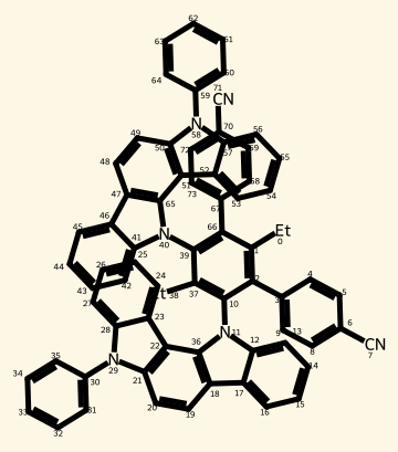 CCc1c(-c2ccc(C#N)cc2)c(-n2c3ccccc3c3ccc4c(c5ccccc5n4-c4ccccc4)c32)c(CC)c(-n2c3ccccc3c3ccc4c(c5ccccc5n4-c4ccccc4)c32)c1-c1ccc(C#N)cc1